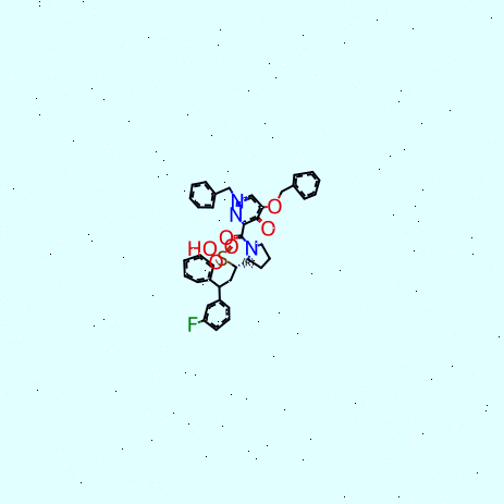 O=C(c1nn(Cc2ccccc2)cc(OCc2ccccc2)c1=O)N1CCC[C@@H]1C(CC(c1ccccc1)c1cccc(F)c1)S(=O)(=O)O